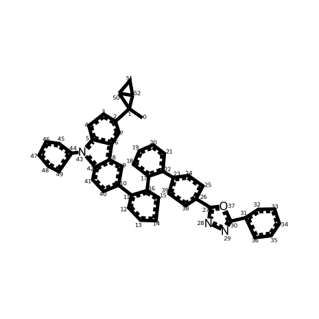 CC1(c2ccc3c(c2)c2cc(-c4ccccc4-c4ccccc4-c4ccc(-c5nnc(-c6ccccc6)o5)cc4)ccc2n3-c2ccccc2)C2CC21